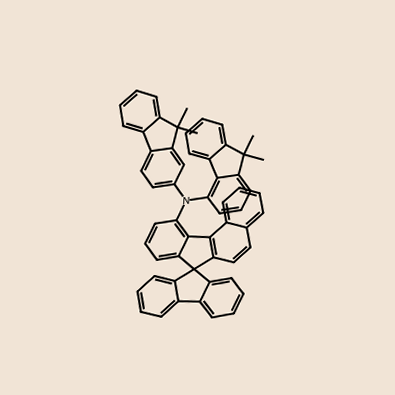 CC1(C)c2ccccc2-c2ccc(N(c3cccc4c3-c3ccccc3C4(C)C)c3cccc4c3-c3c(ccc5ccccc35)C43c4ccccc4-c4ccccc43)cc21